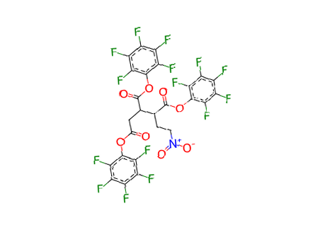 O=C(CC(C(=O)Oc1c(F)c(F)c(F)c(F)c1F)C(CC[N+](=O)[O-])C(=O)Oc1c(F)c(F)c(F)c(F)c1F)Oc1c(F)c(F)c(F)c(F)c1F